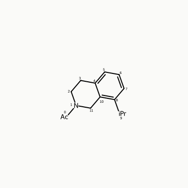 CC(=O)N1CCc2cccc(C(C)C)c2C1